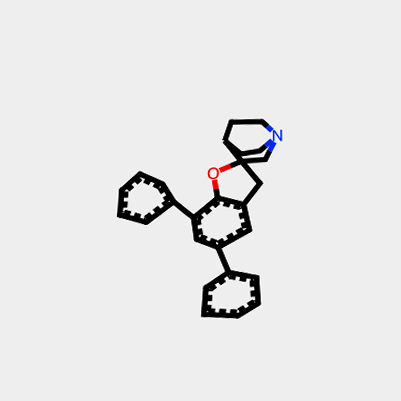 c1ccc(-c2cc3c(c(-c4ccccc4)c2)OC2(C3)CN3CCC2CC3)cc1